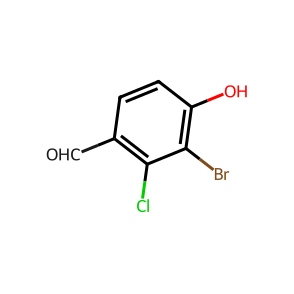 O=Cc1ccc(O)c(Br)c1Cl